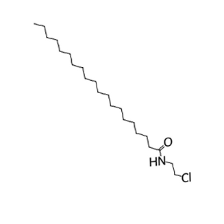 CCCCCCCCCCCCCCCCCCCC(=O)NCCCl